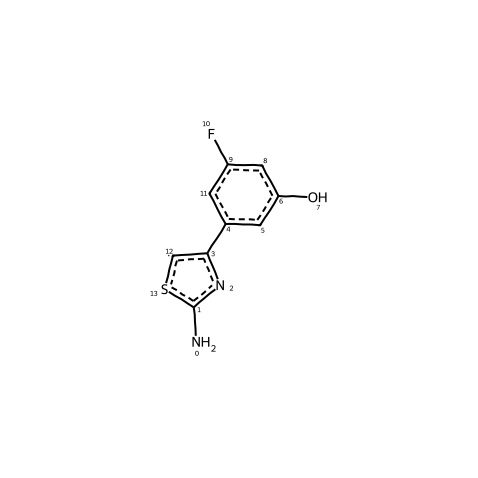 Nc1nc(-c2cc(O)cc(F)c2)[c]s1